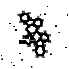 CC(c1cccc2c1C(CCO)c1ccccc1-2)c1cccc2c1C(CCO)c1ccccc1-2